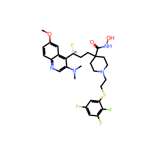 COc1ccc2ncc(N(C)C)c([C@H](F)CCC3(C(=O)NO)CCN(CCSc4cc(F)cc(F)c4F)CC3)c2c1